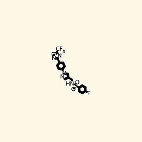 O=S(=O)(NCc1cnn(-c2ccc(-c3noc(C(F)(F)F)n3)cc2)c1)c1ccc(F)cc1